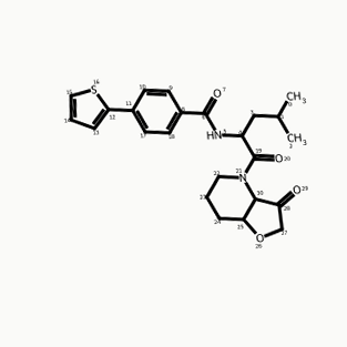 CC(C)CC(NC(=O)c1ccc(-c2cccs2)cc1)C(=O)N1CCCC2OCC(=O)C21